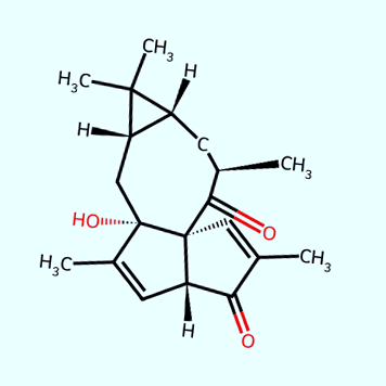 CC1=C[C@@]23C(=O)[C@H](C)C[C@@H]4[C@H](C[C@]2(O)C(C)=C[C@H]3C1=O)C4(C)C